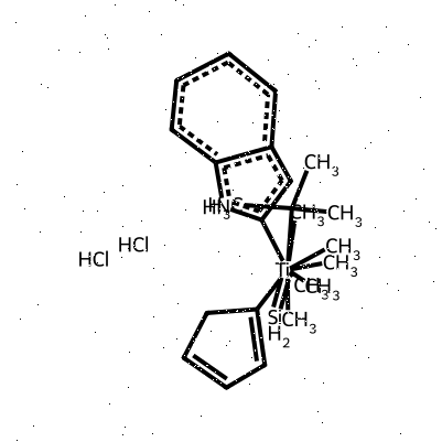 C[C](C)(C)[Ti]([CH3])([CH3])([CH3])([CH3])([CH3])([CH3])(=[SiH2])([C]1=CC=CC1)[c]1cc2ccccc2[nH]1.Cl.Cl